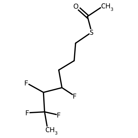 CC(=O)SCCCC(F)C(F)C(C)(F)F